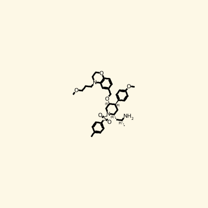 COCCCN1CCOc2ccc(CO[C@H]3CN(S(=O)(=O)c4ccc(C)cc4)[C@@H](C[C@@H](C)N)C[C@@H]3c3ccc(OC)cc3)cc21